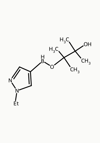 CCn1cc(BOC(C)(C)C(C)(C)O)cn1